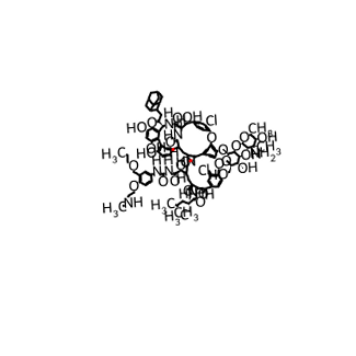 CCCOCc1cc(NC(=O)NC(=O)C[C@@H]2CC(=O)[C@H](NC(=O)[C@H](CC)CC(C)C)[C@H](O)c3ccc(c(Cl)c3)Oc3cc4cc(c3O[C@@H]3O[C@H](CO)[C@@H](O)[C@H](O)[C@H]3O[C@H]3C[C@](C)(N)[C@H](O)[C@H](C)O3)Oc3ccc(cc3Cl)[C@@H](O)[C@@H]3NC(=O)[C@H](CC(=O)[C@@H]4NC2=O)c2ccc(O)c(c2)-c2c(O)cc(O)cc2[C@@H](C(=O)CC2C4CC5CC(C4)CC2C5)NC3=O)ccc1OCCNC